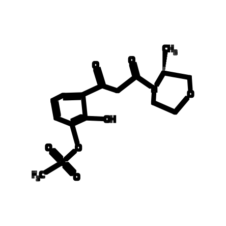 C[C@@H]1COCCN1C(=O)CC(=O)c1cccc(OS(=O)(=O)C(F)(F)F)c1O